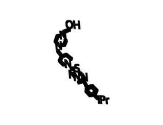 CC(C)c1ccc(-c2cn3nc(N4CCC(CN5CCN(CCO)CC5)CC4)sc3n2)cc1